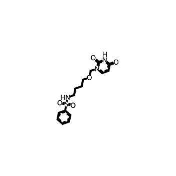 O=c1ccn(COCCCCNS(=O)(=O)c2ccccc2)c(=O)[nH]1